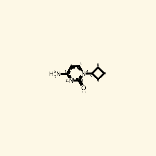 Nc1ccn(C2CCC2)c(=O)n1